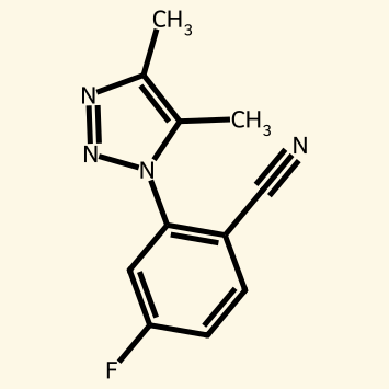 Cc1nnn(-c2cc(F)ccc2C#N)c1C